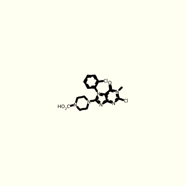 Cn1c(Cl)nc2nc(N3CCN(C(=O)O)CC3)n(-c3ccccc3Cl)c2c1=O